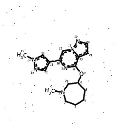 CN1CCCCC(Oc2nc(-c3cnn(C)c3)cn3nccc23)C1